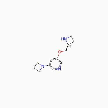 c1ncc(N2CCC2)cc1OC[C@@H]1CCN1